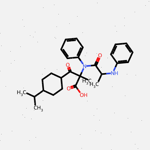 CC(Nc1ccccc1)C(=O)N(c1ccccc1)C(C)(C(=O)O)C(=O)C1CCC(C(C)C)CC1